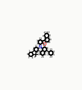 CC1(C)c2ccccc2-c2ccc(N(c3ccc(-c4ccccc4)c4ccccc34)c3cccc4c3oc3ccc5ccccc5c34)cc21